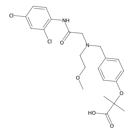 COCCN(CC(=O)Nc1ccc(Cl)cc1Cl)Cc1ccc(OC(C)(C)C(=O)O)cc1